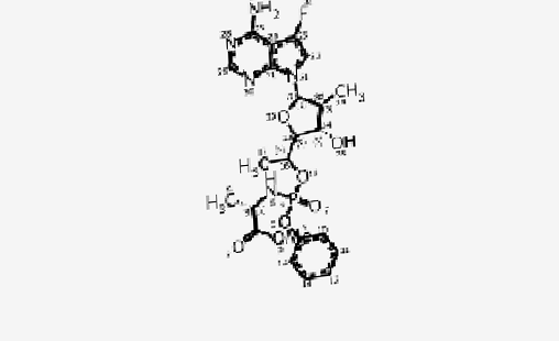 COC(=O)[C@H](C)NP(=O)(Oc1ccccc1)O[C@@H](C)[C@H]1O[C@@H](n2cc(F)c3c(N)ncnc32)[C@@H](C)[C@@H]1O